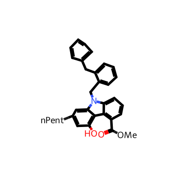 CCCCCc1cc(O)c2c3c(C(=O)OC)cccc3n(Cc3ccccc3Cc3ccccc3)c2c1